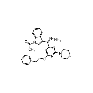 CC(=O)n1cc(C(=NN)c2nc(OCCc3ccccc3)nc(N3CCOCC3)n2)c2ccccc21